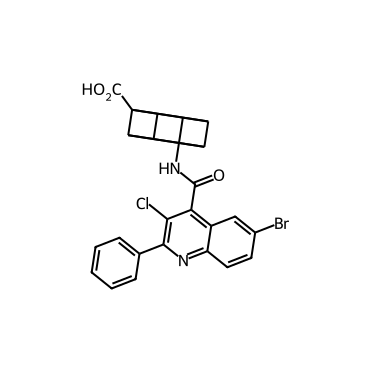 O=C(NC12C3C4C1C1C2C3C41C(=O)O)c1c(Cl)c(-c2ccccc2)nc2ccc(Br)cc12